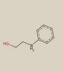 OCC[SiH2]c1ccccc1